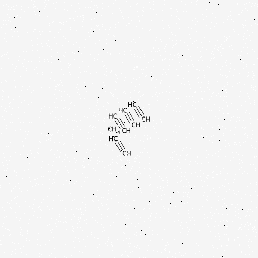 C.C#C.C#C.C#C.C#C